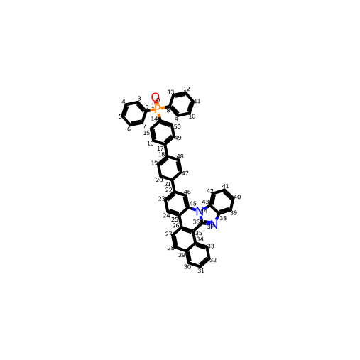 O=P(c1ccccc1)(c1ccccc1)c1ccc(C2=CCC(c3ccc4c5ccc6ccccc6c5c5nc6ccccc6n5c4c3)C=C2)cc1